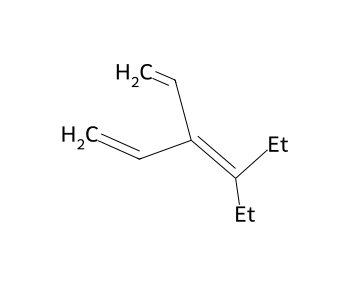 C=CC(C=C)=C(CC)CC